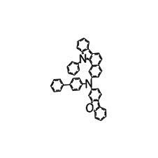 c1ccc(-c2ccc(N(c3ccc4c(c3)oc3ccccc34)c3ccc4ccc5c6ccccc6n(-c6ccccc6)c5c4c3)cc2)cc1